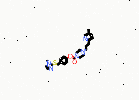 Cc1ccc(CCCN2CCN(C(=O)Oc3ccc(CSc4nccn4C)cc3)CC2)nc1